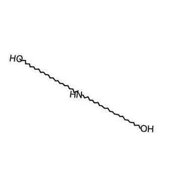 OCCCCCCCCCCCCCCCCCCCCCCCCNCCCCCCCCCCCCCCCCCCCCCCCCO